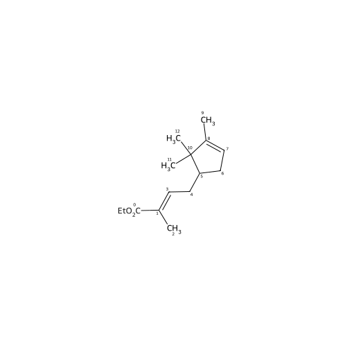 CCOC(=O)C(C)=CCC1CC=C(C)C1(C)C